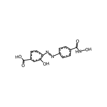 O=C(O)c1ccc(N=Nc2ccc(C(=O)NO)cc2)c(O)c1